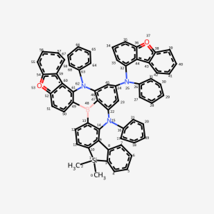 C[Si]1(C)c2ccccc2-c2c1ccc1c2N(c2ccccc2)c2cc(N(c3ccccc3)c3cccc4oc5ccccc5c34)cc3c2B1c1ccc2oc4ccccc4c2c1N3c1ccccc1